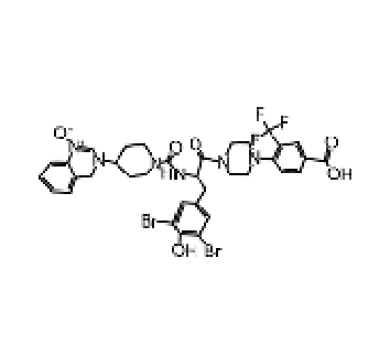 O=C(O)c1ccc(N2CCN(C(=O)[C@@H](Cc3cc(Br)c(O)c(Br)c3)NC(=O)N3CCC(N4C=[N+]([O-])c5ccccc5C4)CC3)CC2)c(C(F)(F)F)c1